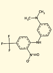 CN(C)c1cccc(Nc2ccc(C(F)(F)F)cc2[N+](=O)[O-])c1